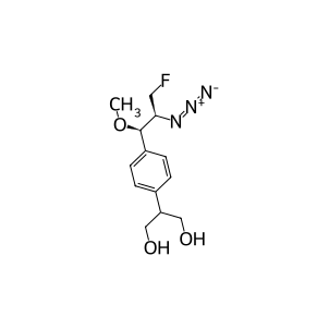 CO[C@H](c1ccc(C(CO)CO)cc1)[C@@H](CF)N=[N+]=[N-]